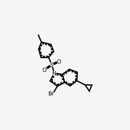 Cc1ccc(S(=O)(=O)n2cc(Br)c3cc(C4CC4)ccc32)cc1